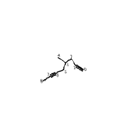 C#CCC(C)CC#C[CH2]